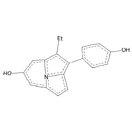 CCc1c(-c2ccc(O)cc2)c2ccc3cc(O)cc1n32